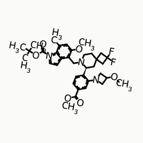 COC(=O)c1ccc([C@@H]2CC3(CCN2Cc2c(OC)cc(C)c4c2ccn4C(=O)OC(C)(C)C)CC(F)(F)C3)c(N2CC(OC)C2)c1